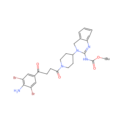 CC(C)(C)OC(=O)NC1=Nc2ccccc2CN1C1CCN(C(=O)CCC(=O)c2cc(Br)c(N)c(Br)c2)CC1